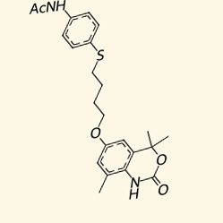 CC(=O)Nc1ccc(SCCCCOc2cc(C)c3c(c2)C(C)(C)OC(=O)N3)cc1